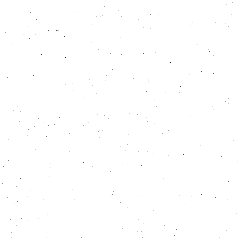 C=[C]c1cc(C)cc(F)c1